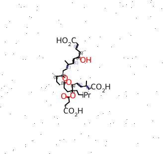 CC(/C=C/[C@H](O)[C@@H](C)/C=C/C(=O)O)=C\C[C@H]1O[C@]2(CC[C@@H]1C)CC[C@@](CCC(C)C)(OC(=O)CCC(=O)O)[C@H](/C=C/C(C)=C/C(=O)O)O2